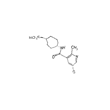 Cc1ncc(Cl)cc1C(=O)N[C@H]1CC[C@H](C(=O)O)CC1